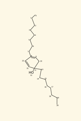 CCCCCCCCC1=CCC(O)(CCCCCCCC)C=C1